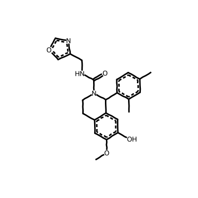 COc1cc2c(cc1O)C(c1ccc(C)cc1C)N(C(=O)NCc1cocn1)CC2